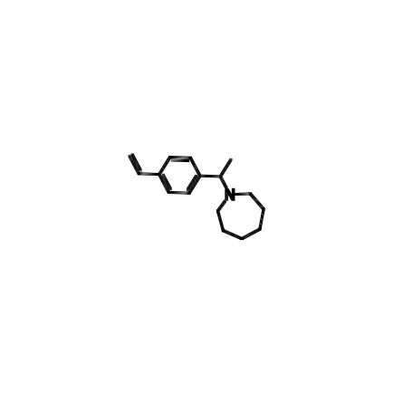 C=Cc1ccc(C(C)N2CCCCCC2)cc1